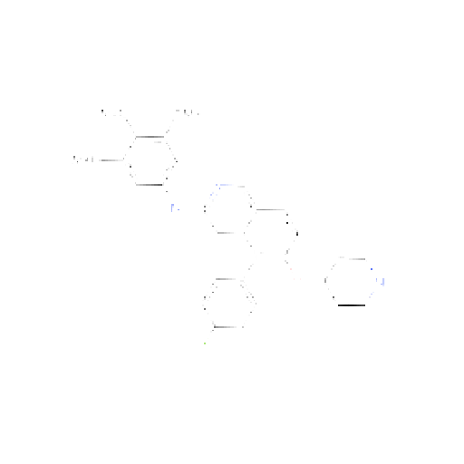 COc1cc(Nc2cc3c(-c4ccc(F)cc4)c(OC4CCNCC4)ccc3cn2)cc(OC)c1OC